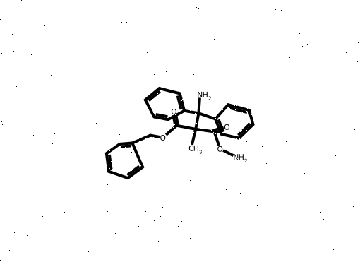 CC(C(=O)ON)(C(=O)OCc1ccccc1)C(N)(c1ccccc1)c1ccccc1